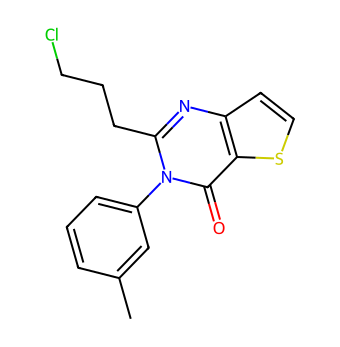 Cc1cccc(-n2c(CCCCl)nc3ccsc3c2=O)c1